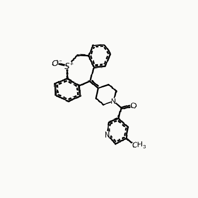 Cc1cncc(C(=O)N2CCC(=C3c4ccccc4C[S+]([O-])c4ccccc43)CC2)c1